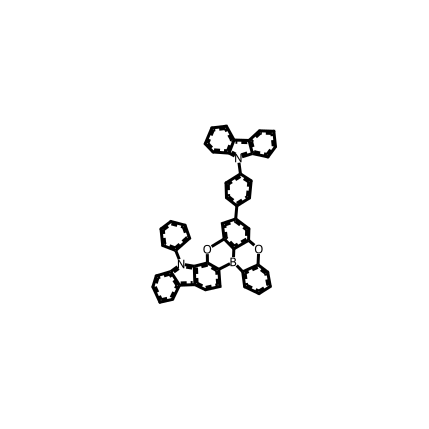 c1ccc(-n2c3ccccc3c3ccc4c(c32)Oc2cc(-c3ccc(-n5c6ccccc6c6ccccc65)cc3)cc3c2B4c2ccccc2O3)cc1